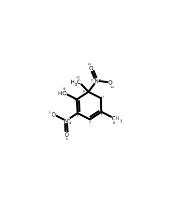 CC1=CC([N+](=O)[O-])=C(O)C(C)([N+](=O)[O-])C1